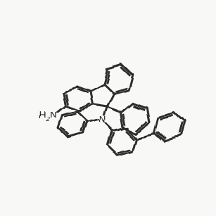 Nc1ccc2c(c1)C(c1ccccc1)(N(c1ccccc1)c1cccc(-c3ccccc3)c1)c1ccccc1-2